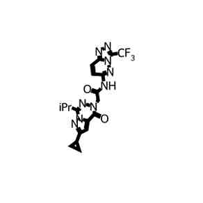 CC(C)c1nn(CC(=O)Nc2ccc3nnc(C(F)(F)F)n3n2)c(=O)c2cc(C3CC3)nn12